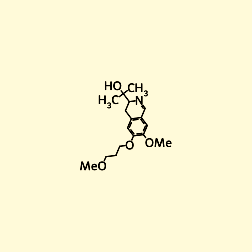 COCCCOc1cc2c(cc1OC)C=NC(C(C)(C)O)C2